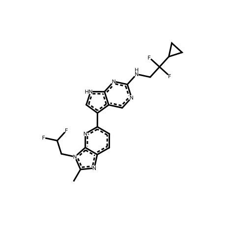 Cc1nc2ccc(-c3c[nH]c4nc(NCC(F)(F)C5CC5)ncc34)nc2n1CC(F)F